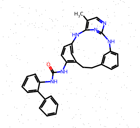 Cc1cnc2nc1Nc1ccc(NC(=O)Nc3ccccc3-c3ccccc3)c(c1)CCc1cccc(c1)N2